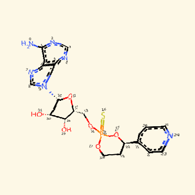 Nc1ncnc2c1ncn2[C@@H]1O[C@H](COP2(=S)OCC[C@H](c3ccncc3)O2)[C@H](O)[C@@H]1O